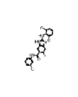 O=C(Nc1cccc(Cl)c1)c1cc2[nH]c(Nc3c(Cl)cccc3Cl)nc2cc1F